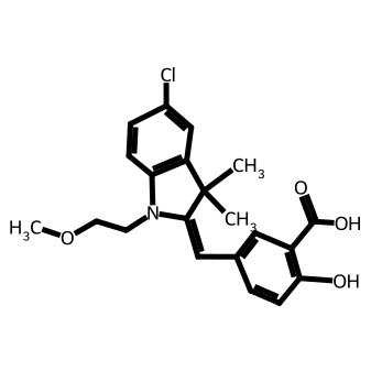 COCCN1/C(=C/c2ccc(O)c(C(=O)O)c2)C(C)(C)c2cc(Cl)ccc21